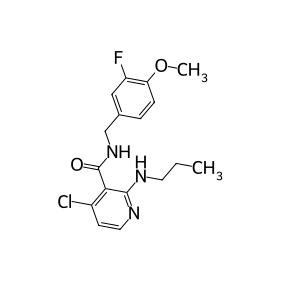 CCCNc1nccc(Cl)c1C(=O)NCc1ccc(OC)c(F)c1